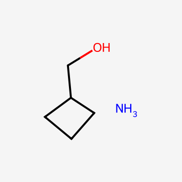 N.OCC1CCC1